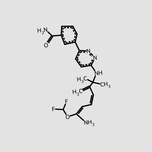 C=C(/C=C\C=C(/N)OC(F)F)C(C)(C)Nc1ccc(-c2cccc(C(N)=O)c2)nn1